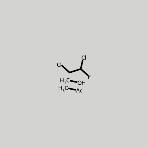 CC(C)=O.CO.FC(Cl)CCl